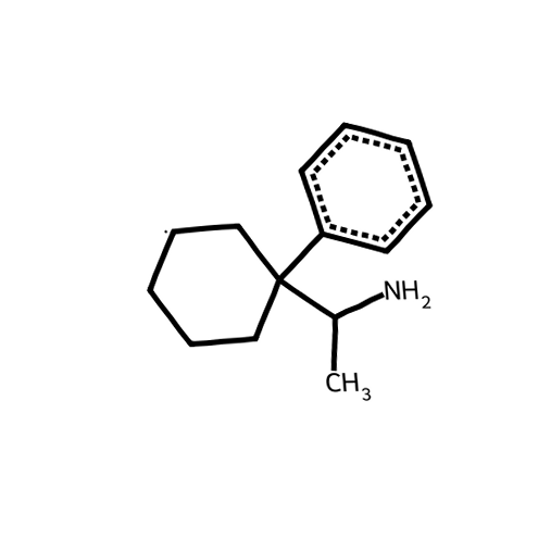 CC(N)C1(c2ccccc2)C[CH]CCC1